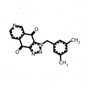 Cc1cc(C)cc(Cn2nnc3c2C(=O)c2cnccc2C3=O)c1